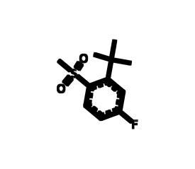 CC(C)(C)c1cc(F)ccc1S(C)(=O)=O